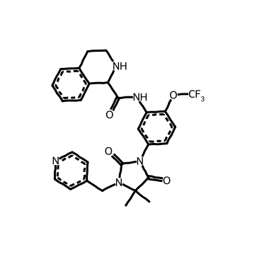 CC1(C)C(=O)N(c2ccc(OC(F)(F)F)c(NC(=O)C3NCCc4ccccc43)c2)C(=O)N1Cc1ccncc1